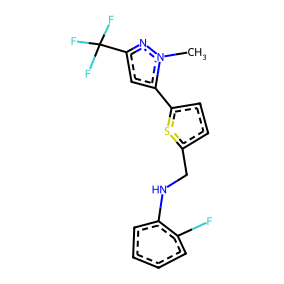 Cn1nc(C(F)(F)F)cc1-c1ccc(CNc2ccccc2F)s1